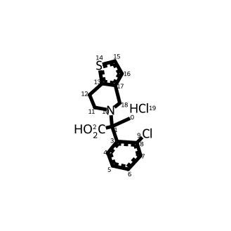 CC(C(=O)O)(c1ccccc1Cl)N1CCc2sccc2C1.Cl